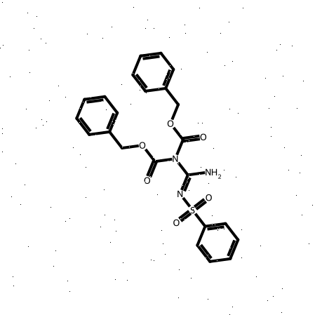 NC(=NS(=O)(=O)c1ccccc1)N(C(=O)OCc1ccccc1)C(=O)OCc1ccccc1